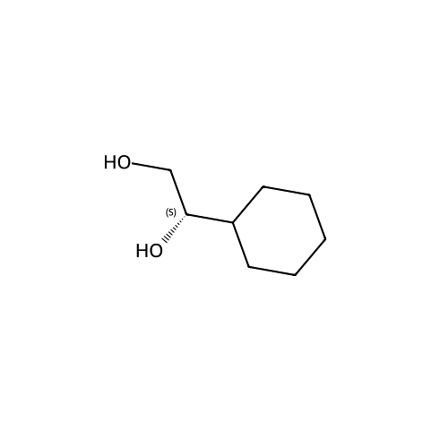 OC[C@@H](O)C1CCCCC1